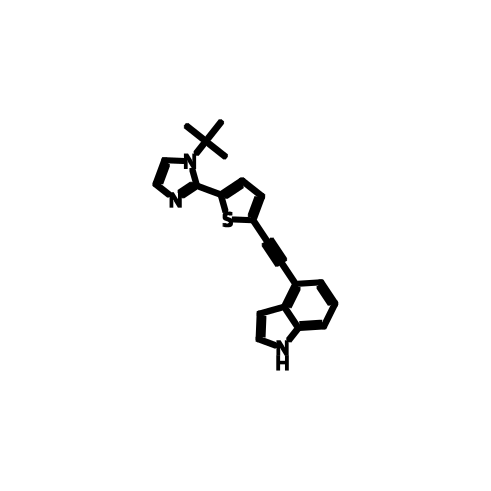 CC(C)(C)n1ccnc1-c1ccc(C#Cc2cccc3[nH]ccc23)s1